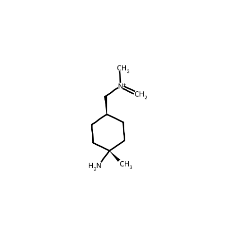 C=[N+](C)C[C@H]1CC[C@](C)(N)CC1